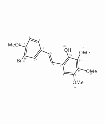 COc1ccc(C=Cc2cc(OC)c(OC)c(OC)c2O)cc1Br